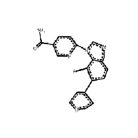 NC(=O)c1ccc(-n2cnc3ccc(-c4ccncc4)c(F)c32)nc1